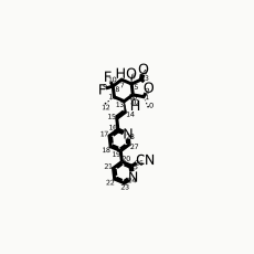 C[C@H]1OC(=O)[C@]2(O)CC(F)(F)[C@@H](C)[C@H](/C=C/c3ccc(-c4cccnc4C#N)cn3)[C@H]12